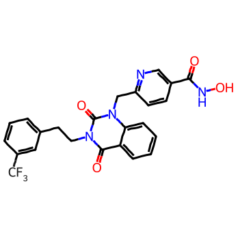 O=C(NO)c1ccc(Cn2c(=O)n(CCc3cccc(C(F)(F)F)c3)c(=O)c3ccccc32)nc1